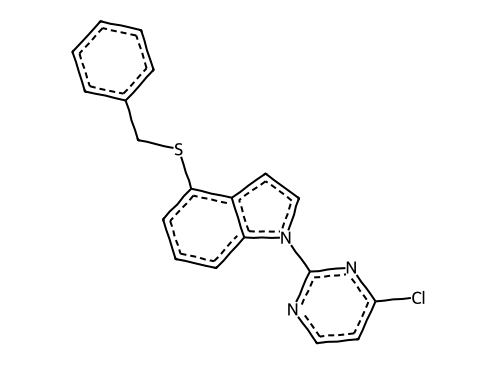 Clc1ccnc(-n2ccc3c(SCc4ccccc4)cccc32)n1